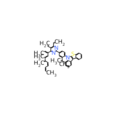 C=Cc1nc(-c2ccc3c(c2)C(C)(C)c2cccc4c5c6ccccc6sc5n-3c24)nc(C(/C=C(\C)C(=C)/C=C\C=C/C)=C/C)c1C=C